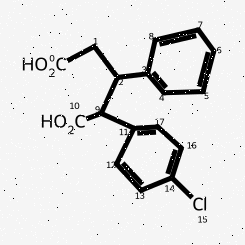 O=C(O)CC(c1ccccc1)C(C(=O)O)c1ccc(Cl)cc1